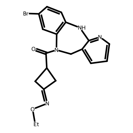 CCON=C1CC(C(=O)N2Cc3cccnc3Nc3ccc(Br)cc32)C1